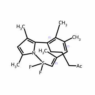 CC(=O)CCC\C1=C(C)/C(C)=C\C(C)=C\S(F)(F)n2c(C)cc(C)c21